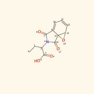 CCC(C(=O)O)N1C(=O)C2=CC=CC3OC23C1=O